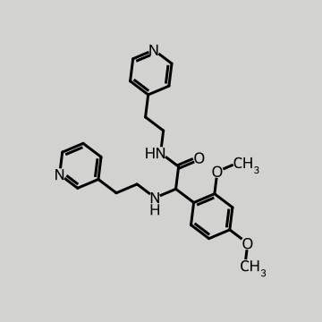 COc1ccc(C(NCCc2cccnc2)C(=O)NCCc2ccncc2)c(OC)c1